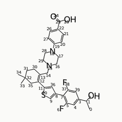 CC(O)c1cc(F)c(-c2csc(C3=C(CN4CCN(c5ccc(C(=O)O)cc5)CC4)CCC(C)(C)C3)c2)c(F)c1